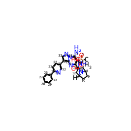 CS(=O)(=O)c1c(C2CC3CC[C@H](C2)N3C(=O)NO)nc2c(-c3ccc(-c4ccccc4)nc3)cnn2c1N